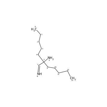 CCCCCC(N)(C=N)CCCCC